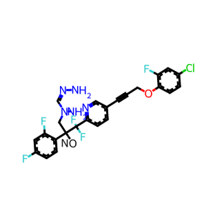 N/N=C\N(N)CC(N=O)(c1ccc(F)cc1F)C(F)(F)c1ccc(C#CCOc2ccc(Cl)cc2F)cn1